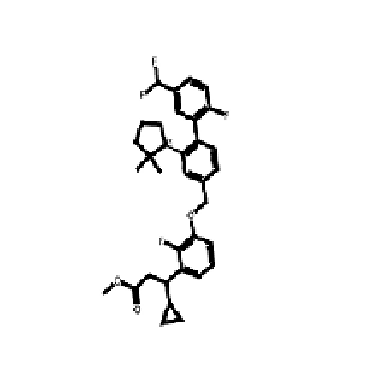 COC(=O)CC(c1cccc(OCc2ccc(-c3cc(C(F)F)ccc3F)c([C@@H]3CCCC3(C)C)c2)c1F)C1CC1